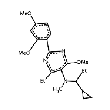 CCc1nc(-c2ccc(OC)cc2OC)nc(OC)c1N(C)C(CC)C1CC1